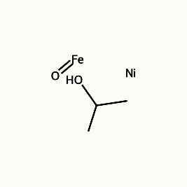 CC(C)O.[Ni].[O]=[Fe]